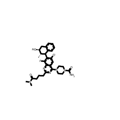 C[C@H]1C(c2c(Cl)cc3c(N4CCN(C(N)=O)CC4)nc(CCCC(=O)N(C)C)nc3c2F)c2ccccc2C[C@@H]1O